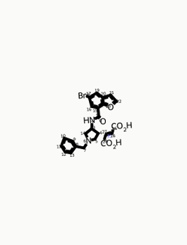 O=C(NC1CCN(Cc2ccccc2)C1)c1cc(Br)cc2ccoc12.O=C(O)/C=C/C(=O)O